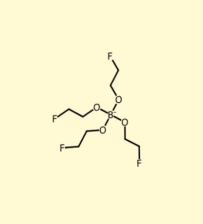 FCCO[B-](OCCF)(OCCF)OCCF